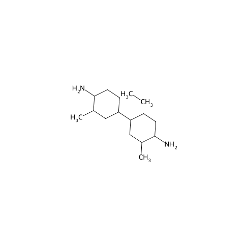 CC.CC1CC(C2CCC(N)C(C)C2)CCC1N